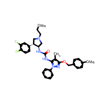 COCCN1C[C@@H](NC(=O)Nc2c(C)c(OCc3ccc(OC)cc3)nn2-c2ccccc2)[C@H](c2ccc(F)c(F)c2)C1